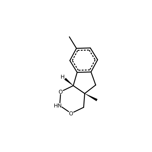 Cc1ccc2c(c1)[C@H]1ONOC[C@@]1(C)C2